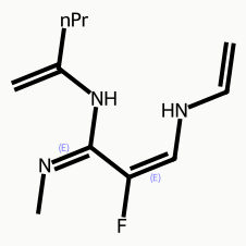 C=CN/C=C(F)\C(=N/C)NC(=C)CCC